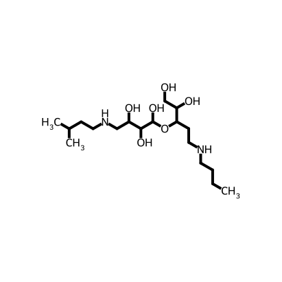 CCCCNCCC(OC(O)C(O)C(O)CNCCC(C)C)C(O)CO